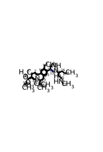 C=C1C=C2c3cc(CC)c(/C(C=N)=C/NC(CCC)CCNC)cc3CC(C(C)(C)C)N2C=C1C(=O)OCC